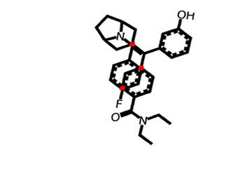 CCN(CC)C(=O)c1ccc(C(=C2CC3CCC(C2)N3Cc2ccc(F)cc2)c2cccc(O)c2)cc1